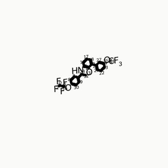 FC(F)C(F)(F)Oc1ccc(C2COc3c(cccc3-c3cccc(OC(F)(F)F)c3)N2)cc1